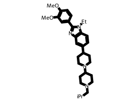 CCn1c(-c2ccc(OC)c(OC)c2)nc2cc(C3CCN(C4CCN(CC(C)C)CC4)CC3)ccc21